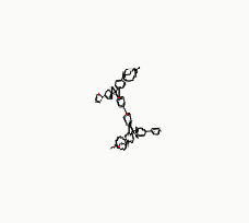 CCCOCc1ccc(N(c2ccc(-c3ccccc3)cc2)c2ccc(-c3ccc(N(c4ccc(COCCC)cc4)c4ccc(-c5ccccc5)cc4)cc3)cc2)cc1